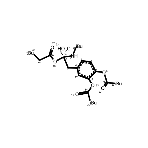 CCC(C)N[C@@](Cc1ccc(OC(=O)C(C)CC)c(OC(=O)C(C)CC)c1)(OC(=O)CC(C)(C)C)C(=O)O